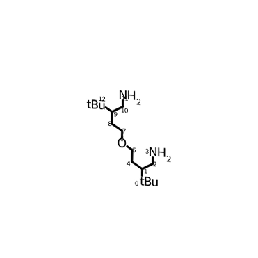 CC(C)(C)C(CN)CCOCCC(CN)C(C)(C)C